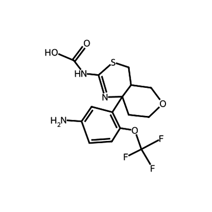 Nc1ccc(OC(F)(F)F)c(C23CCOCC2CSC(NC(=O)O)=N3)c1